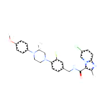 CCC[C@H]1CN(c2ccc(CNC(=O)c3c(CC)nc4ccc(Cl)cn34)cc2F)CCN1c1ccc(OC(F)(F)F)cc1